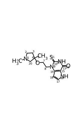 CN1CCC(C)(OCCn2c(=S)[nH]c(=O)c3[nH]ccc32)C1